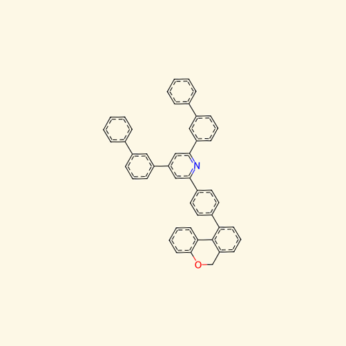 c1ccc(-c2cccc(-c3cc(-c4ccc(-c5cccc6c5-c5ccccc5OC6)cc4)nc(-c4cccc(-c5ccccc5)c4)c3)c2)cc1